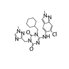 Cn1cnc(Cn2c(=O)nc(Nc3cc4cn(C)nc4cc3Cl)n(CC3CCCCC3)c2=O)n1